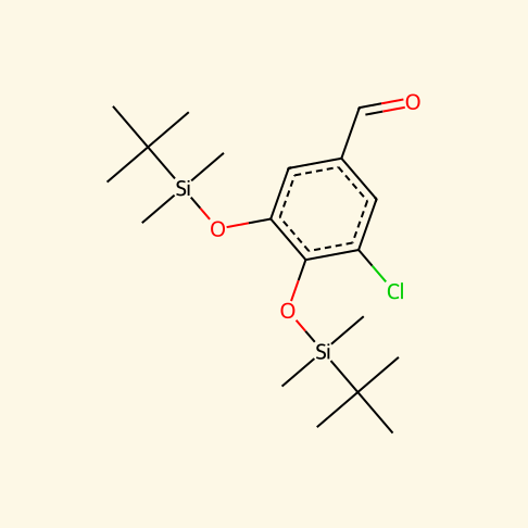 CC(C)(C)[Si](C)(C)Oc1cc(C=O)cc(Cl)c1O[Si](C)(C)C(C)(C)C